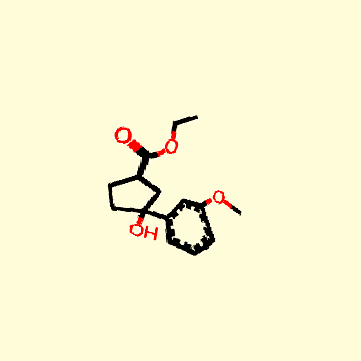 CCOC(=O)C1CCC(O)(c2cccc(OC)c2)C1